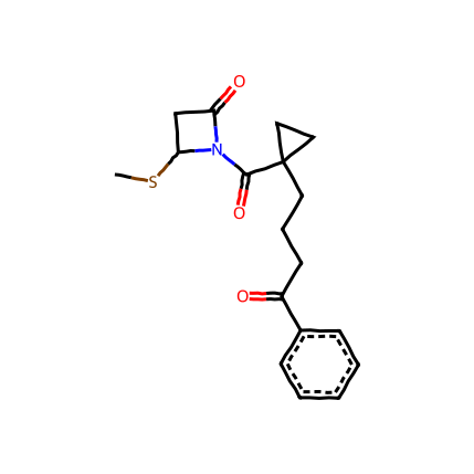 CSC1CC(=O)N1C(=O)C1(CCCC(=O)c2ccccc2)CC1